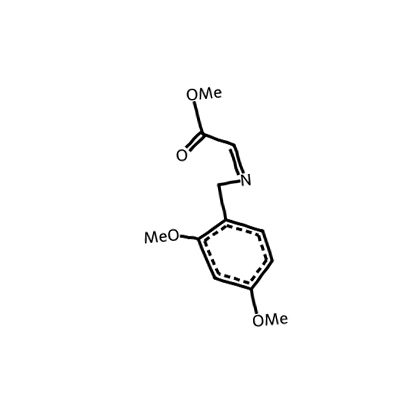 COC(=O)/C=N\Cc1ccc(OC)cc1OC